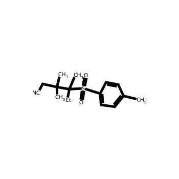 CCC(C)(C(C)(C)CC#N)S(=O)(=O)c1ccc(C)cc1